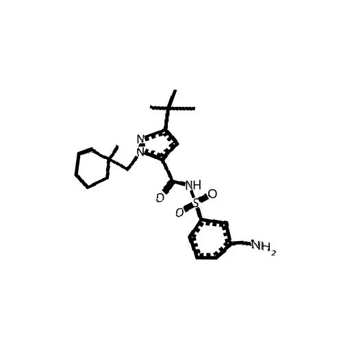 CC1(Cn2nc(C(C)(C)C)cc2C(=O)NS(=O)(=O)c2cccc(N)c2)CCCCC1